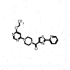 O=C(c1csc(-c2ccccn2)n1)N1CCN(c2cc(OCC(F)(F)F)ncn2)CC1